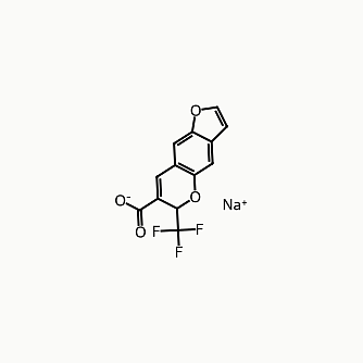 O=C([O-])C1=Cc2cc3occc3cc2OC1C(F)(F)F.[Na+]